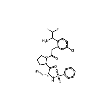 CC(C)C[C@@H](NS(=O)(=O)c1ccccc1)C(=O)N1CCC[C@H]1C(=O)[CH]c1cc(Cl)ccc1C(N)C(F)F